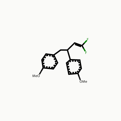 COc1ccc(CC(C=C(F)F)c2ccc(OC)cc2)cc1